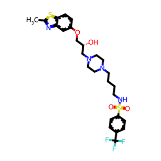 Cc1nc2cc(OC[C@H](O)CN3CCN(CCCCNS(=O)(=O)c4ccc(C(F)(F)F)cc4)CC3)ccc2s1